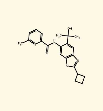 CC(C)(O)c1cc2nc(C3CCC3)sc2cc1NC(=O)c1cccc(C(F)(F)F)n1